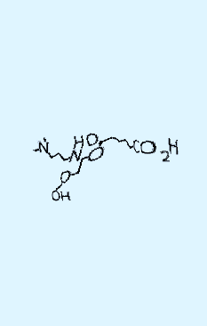 CN(C)CCCNC(COCCO)OC(=O)CCCCC(=O)O